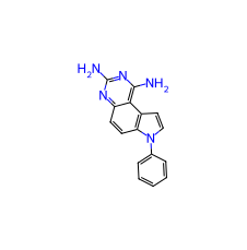 Nc1nc(N)c2c(ccc3c2ccn3-c2ccccc2)n1